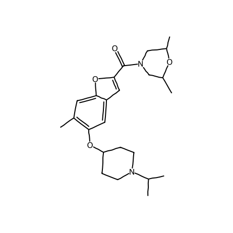 Cc1cc2oc(C(=O)N3CC(C)OC(C)C3)cc2cc1OC1CCN(C(C)C)CC1